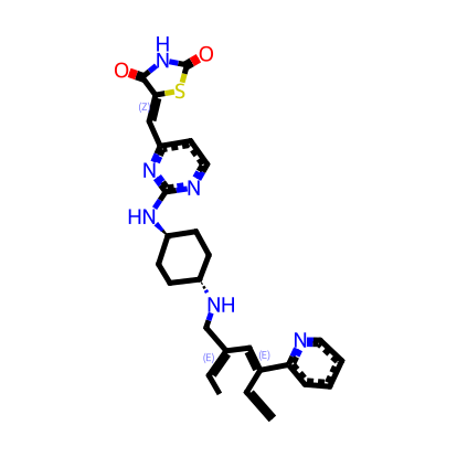 C=C/C(=C\C(=C/C)CN[C@H]1CC[C@H](Nc2nccc(/C=C3\SC(=O)NC3=O)n2)CC1)c1ccccn1